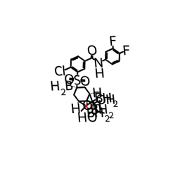 BC1(B)[C@@H]2C[C@](B)(S(=O)(=O)c3cc(C(=O)Nc4ccc(F)c(F)c4)ccc3Cl)C[C@H](C1(B)C)[C@@]2(O)C(O)C(C)O